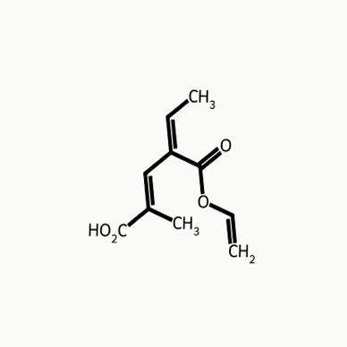 C=COC(=O)C(C=C(C)C(=O)O)=CC